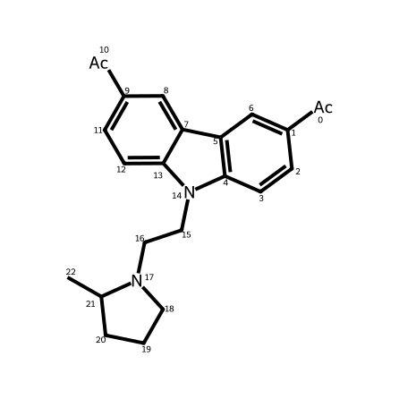 CC(=O)c1ccc2c(c1)c1cc(C(C)=O)ccc1n2CCN1CCCC1C